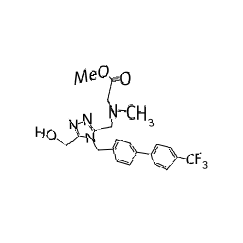 COC(=O)CN(C)Cc1nnc(CO)n1Cc1ccc(-c2ccc(C(F)(F)F)cc2)cc1